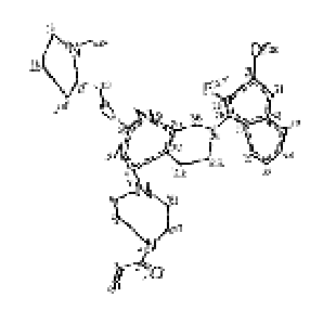 C=CC(=O)N1CCN(c2nc(OC[C@@H]3CCCN3C)nc3c2CCN(c2c(F)c(OC)cc4ccccc24)C3)CC1